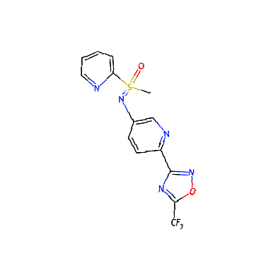 CS(=O)(=Nc1ccc(-c2noc(C(F)(F)F)n2)nc1)c1ccccn1